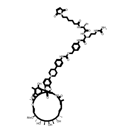 CO[C@H]1/C=C/O[C@@]2(C)Oc3c(C)c(O)c4c(=O)c(c5sc6cc(N7CCC(c8ccc(NC(=O)OCc9ccc(NC(=O)[C@H](CCCNC(N)=O)NC(=O)[C@@H](NC(=O)CCCCCN%10C(=O)C=CC%10=O)C(C)C)cc9)cc8)CC7)ccc6nc-5c4c3C2=O)NC(=O)/C(C)=C\C=C\[C@H](C)[C@H](O)[C@@H](C)[C@@H](O)[C@@H](C)[C@H](O)[C@@H]1C